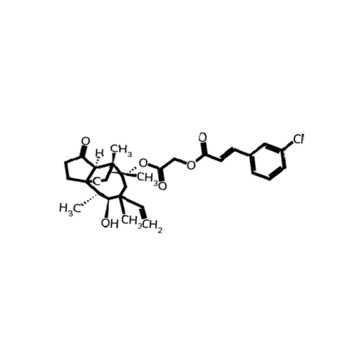 C=CC1(C)C[C@@H](OC(=O)COC(=O)/C=C/c2cccc(Cl)c2)[C@]2(C)[C@H](C)CCC3(CCC(=O)[C@H]32)[C@@H](C)[C@@H]1O